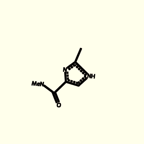 CNC(=O)c1c[nH]c(C)n1